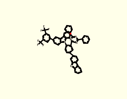 FC(F)(F)c1cc(-c2ccc3c(c2)c2ccccc2n3-c2ccc(-c3ccc4c(c3)oc3ccccc34)cc2-c2nc(-c3ccccc3)nc(-c3ccccc3)n2)cc(C(F)(F)F)c1